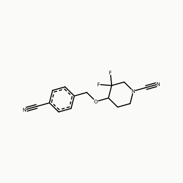 N#Cc1ccc(COC2CCN(C#N)CC2(F)F)cc1